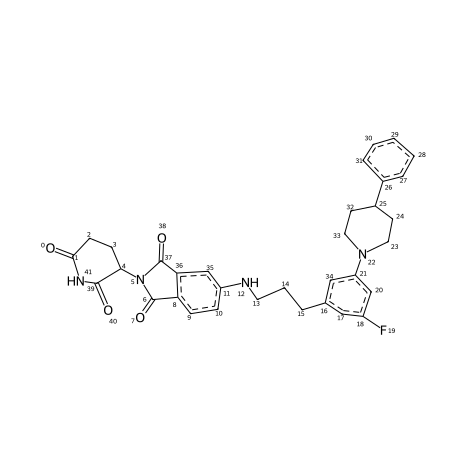 O=C1CCC(N2C(=O)c3ccc(NCCCc4cc(F)cc(N5CCC(c6ccccc6)CC5)c4)cc3C2=O)C(=O)N1